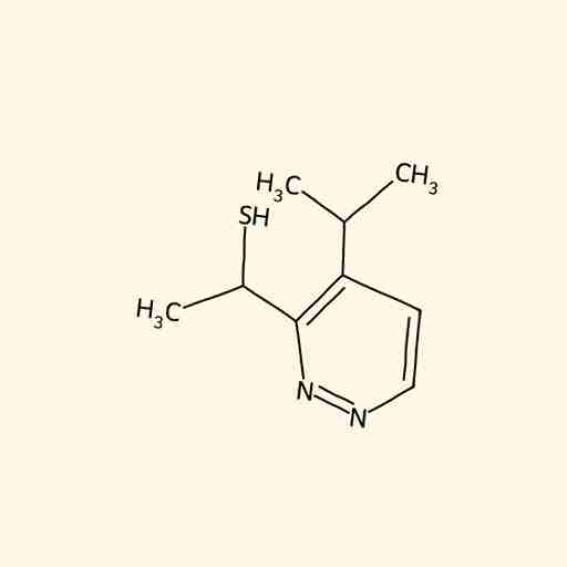 CC(C)c1ccnnc1C(C)S